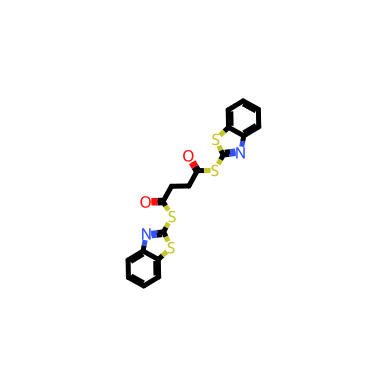 O=C(CCC(=O)Sc1nc2ccccc2s1)Sc1nc2ccccc2s1